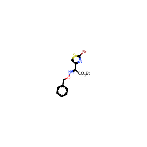 CCOC(=O)/C(=N\OCc1ccccc1)c1csc(Br)n1